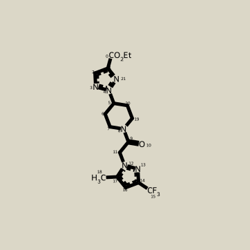 CCOC(=O)c1cnn(C2CCN(C(=O)Cn3nc(C(F)(F)F)cc3C)CC2)n1